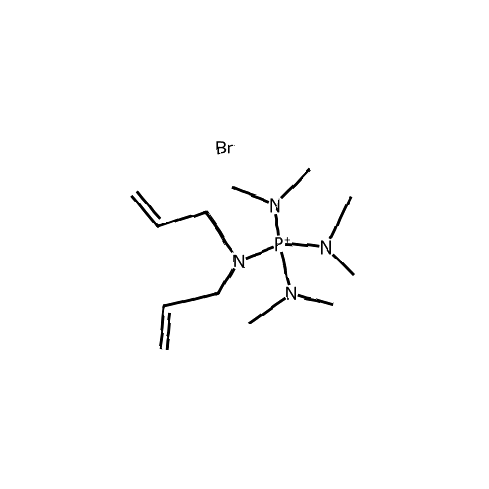 C=CCN(CC=C)[P+](N(C)C)(N(C)C)N(C)C.[Br-]